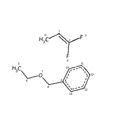 CC=C(F)F.CCOCc1ccccc1